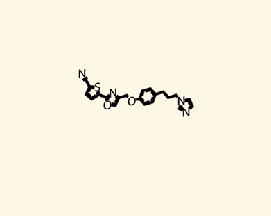 N#Cc1ccc(-c2nc(COc3ccc(CCCn4ccnc4)cc3)co2)s1